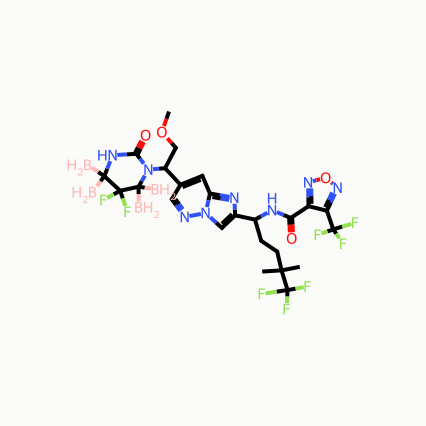 BC1(B)NC(=O)N(C(COC)c2cnn3cc(C(CCC(C)(C)C(F)(F)F)NC(=O)c4nonc4C(F)(F)F)nc3c2)C(B)(B)C1(F)F